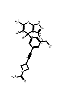 COC(=O)N1CC(C#Cc2cc(CO)cc(C3(C(C)C)C(C#N)=C(N)Oc4[nH]nc(C)c43)c2)C1